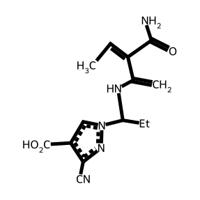 C=C(NC(CC)n1cc(C(=O)O)c(C#N)n1)/C(=C\C)C(N)=O